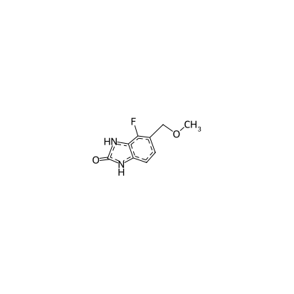 COCc1ccc2[nH]c(=O)[nH]c2c1F